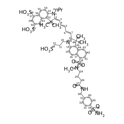 CCCN1/C(=C/C=C/C=C/C2=[N+](CCCS(=O)(=O)O)c3ccc4c(S(=O)(=O)N(C)CCCC(=O)NCc5ccc(S(N)(=O)=O)cc5)cccc4c3C2(C)C)C(C)(C)c2c1ccc1c(S(=O)(=O)O)cc(S(=O)(=O)O)cc21